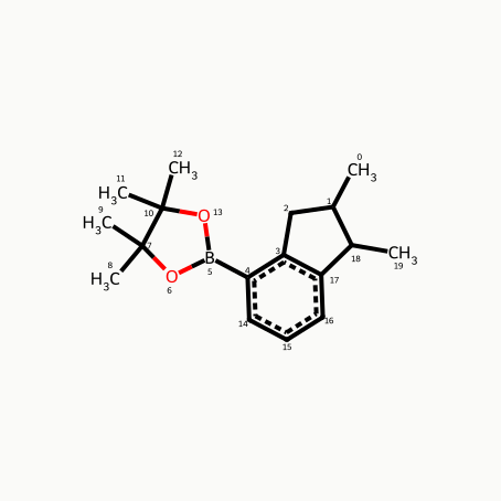 CC1Cc2c(B3OC(C)(C)C(C)(C)O3)cccc2C1C